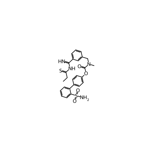 CCC(=S)NC(=N)c1cccc(CN(C)C(=O)Oc2ccc(-c3ccccc3S(N)(=O)=O)cc2)c1